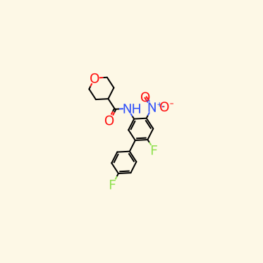 O=C(Nc1cc(-c2ccc(F)cc2)c(F)cc1[N+](=O)[O-])C1CCOCC1